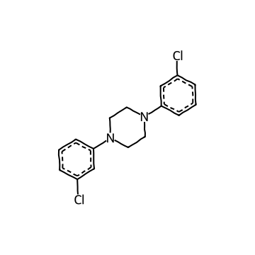 Clc1cccc(N2CCN(c3cccc(Cl)c3)CC2)c1